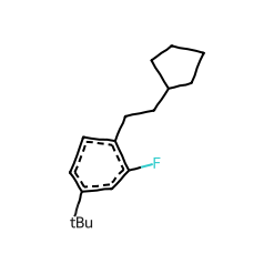 CC(C)(C)c1ccc(CCC2CCCC2)c(F)c1